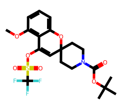 COc1cccc2c1C(OS(=O)(=O)C(F)(F)F)=CC1(CCN(C(=O)OC(C)(C)C)CC1)O2